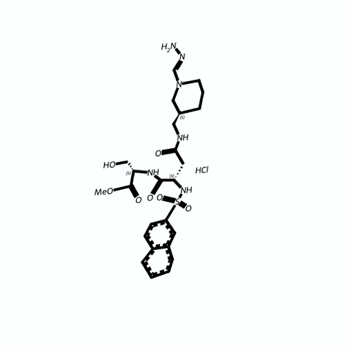 COC(=O)[C@H](CO)NC(=O)[C@H](CC(=O)NC[C@@H]1CCCN(C=NN)C1)NS(=O)(=O)c1ccc2ccccc2c1.Cl